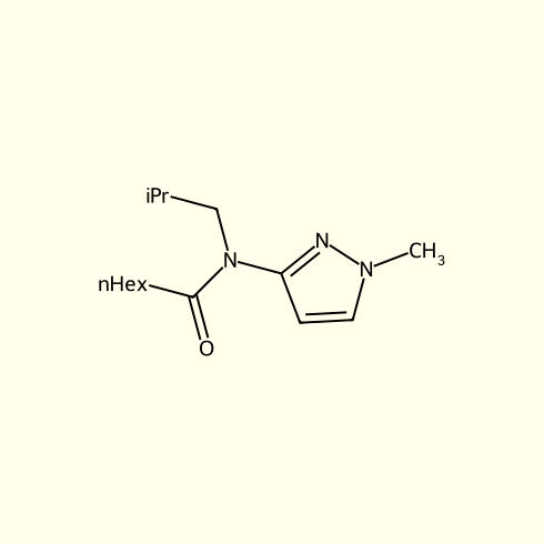 CCCCCCC(=O)N(CC(C)C)c1ccn(C)n1